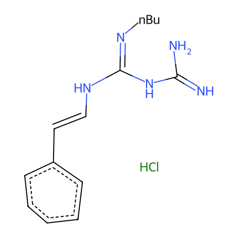 CCCCN=C(NC=Cc1ccccc1)NC(=N)N.Cl